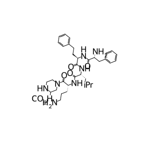 CC(C)C[C@@H](NC(=O)[C@@H](CCc1ccccc1)NC(=O)[C@H](N)Cc1ccccc1)C(=O)N[C@H](CCCN)C(=O)N1CCNC(C(=O)O)C1